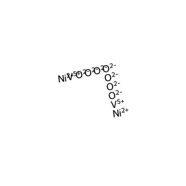 [Ni+2].[Ni+2].[O-2].[O-2].[O-2].[O-2].[O-2].[O-2].[O-2].[V+5].[V+5]